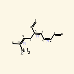 C=C/C=C\C=C(\C=C)C/C=C(/C)N